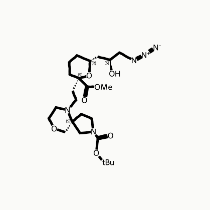 COC(=O)[C@@]1(CCN2CCOC[C@@]23CCN(C(=O)OC(C)(C)C)C3)CCC[C@H](C[C@H](O)CN=[N+]=[N-])O1